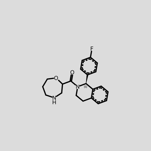 O=C(C1CNCCCO1)N1CCc2ccccc2[C@@H]1c1ccc(F)cc1